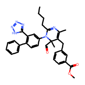 CCCCC1=NC(C)=C(Cc2cccc(C(=O)OC)c2)C(C)(C=O)N1c1ccc(-c2ccccc2)c(-c2nnn[nH]2)c1